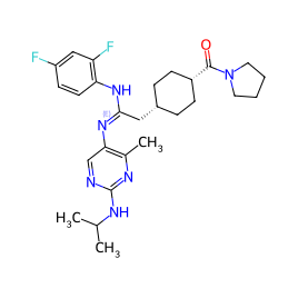 Cc1nc(NC(C)C)ncc1/N=C(\C[C@H]1CC[C@@H](C(=O)N2CCCC2)CC1)Nc1ccc(F)cc1F